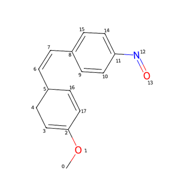 COC1=CCC(/C=C\c2ccc(N=O)cc2)C=C1